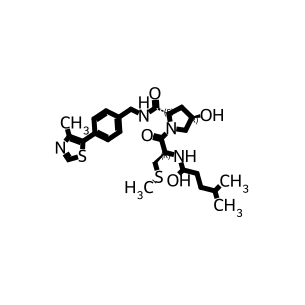 CSC[C@H](NC(O)CCC(C)C)C(=O)N1C[C@H](O)C[C@H]1C(=O)NCc1ccc(-c2scnc2C)cc1